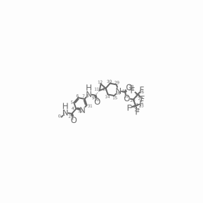 CNC(=O)c1ccc(NC(=O)[C@@H]2CC23CCN(C(=O)OC(C(F)(F)F)C(F)(F)F)CC3)cn1